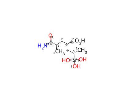 C[C@H](C[C@H](C[C@H](C)[Si](O)(O)O)C(=O)O)C(N)=O